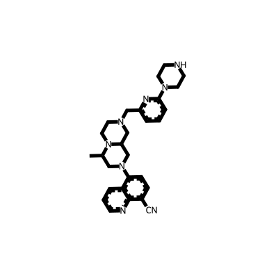 CC1CN(c2ccc(C#N)c3ncccc23)CC2CN(Cc3cccc(N4CCNCC4)n3)CCN12